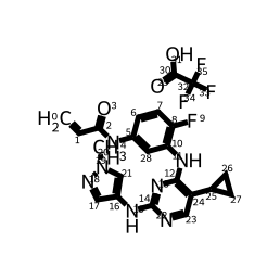 C=CC(=O)Nc1ccc(F)c(Nc2nc(Nc3cnn(C)c3)ncc2C2CC2)c1.O=C(O)C(F)(F)F